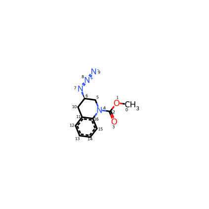 COC(=O)N1C[C@H](N=[N+]=[N-])Cc2ccccc21